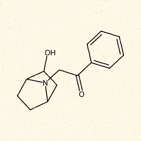 O=C(CN1C2CCC1C(O)C2)c1ccccc1